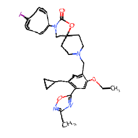 CCOc1cc(-c2nc(C)no2)c(C2CC2)cc1CN1CCC2(CC1)CN(c1ccc(I)cc1)C(=O)O2